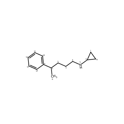 CC(CCCNC1CC1)c1ccccc1